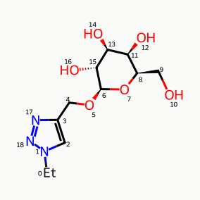 CCn1cc(CO[C@@H]2O[C@H](CO)[C@H](O)[C@H](O)[C@H]2O)nn1